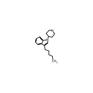 CCCCCc1cn(C2CC[N]CC2)c2ccccc12